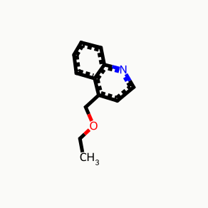 CCOCc1ccnc2ccccc12